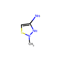 CN1NC([NH])=CS1